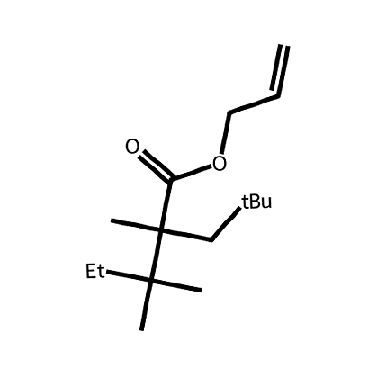 C=CCOC(=O)C(C)(CC(C)(C)C)C(C)(C)CC